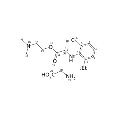 CCc1cccc(Cl)c1N[C@@H](C)C(=O)OCCN(C)C.NCC(=O)O